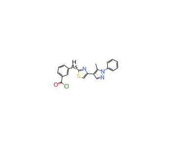 Cc1c(-c2csc([AsH]c3cccc(C(=O)Cl)c3)n2)cnn1-c1ccccc1